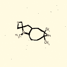 CN1C2CCC3(C)BC3(C)CC2CC12COC2